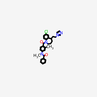 Cc1cc(N(C)C(=O)c2ccccc2)ccc1C(=O)N1CCCC(CCn2ccnc2)c2cc(Cl)ccc21